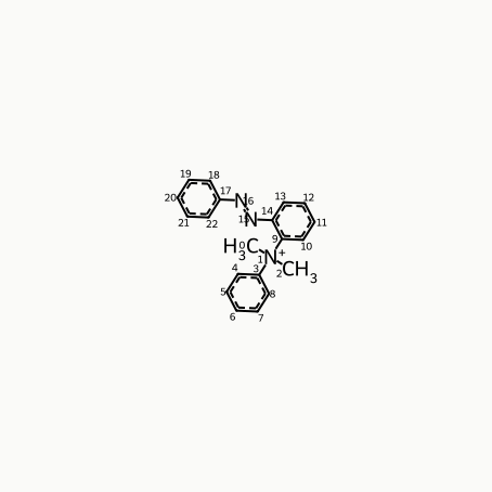 C[N+](C)(c1ccccc1)c1ccccc1N=Nc1ccccc1